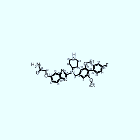 CCOc1cc(CN(c2nc3cc(OCC(N)=O)ccc3o2)C2CCNCC2)cc(OCC)c1-c1ccc(F)cc1